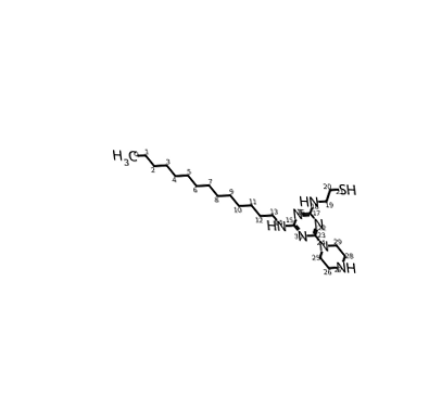 CCCCCCCCCCCCCCNc1nc(NCCS)nc(N2CCNCC2)n1